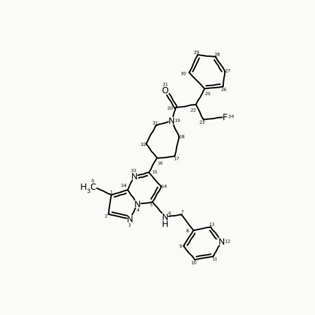 Cc1cnn2c(NCc3cccnc3)cc(C3CCN(C(=O)C(CF)c4ccccc4)CC3)nc12